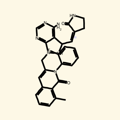 Cc1cccc2cc(CN3NC(/C=C4/CCNC4=O)c4c(N)ncnc43)n(-c3ccccc3F)c(=O)c12